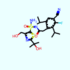 CC(C)c1cc(C#N)c(F)c(C(C)C)c1CC(=O)N=S(N)(=O)c1sc(C(C)(C)O)nc1CO